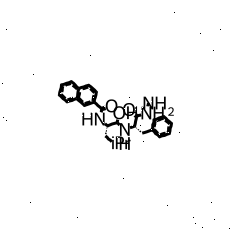 CC(C)C[C@H](NC(=O)c1ccc2ccccc2c1)C(O)N[C@@H](Cc1ccccc1)C(=O)NN